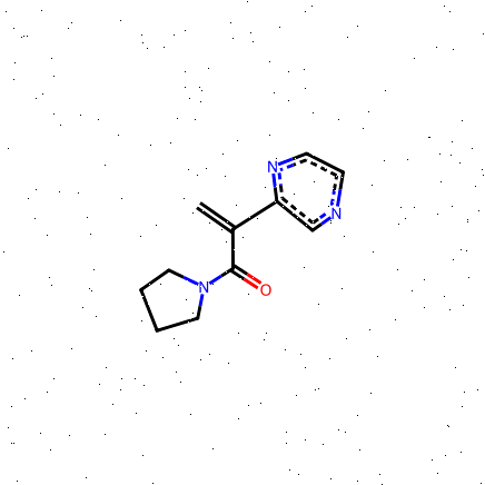 C=C(C(=O)N1CCCC1)c1cnccn1